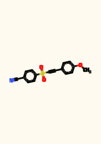 COc1ccc(C#CS(=O)(=O)c2ccc(C#N)cc2)cc1